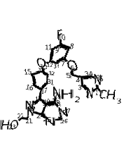 Cc1ncc(COc2cc(F)cc(Oc3ccc(-c4nn(CCO)c5ncnc(N)c45)cc3)c2)cn1